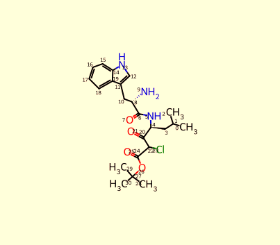 CC(C)C[C@H](NC(=O)[C@@H](N)Cc1c[nH]c2ccccc12)C(=O)C(Cl)C(=O)OC(C)(C)C